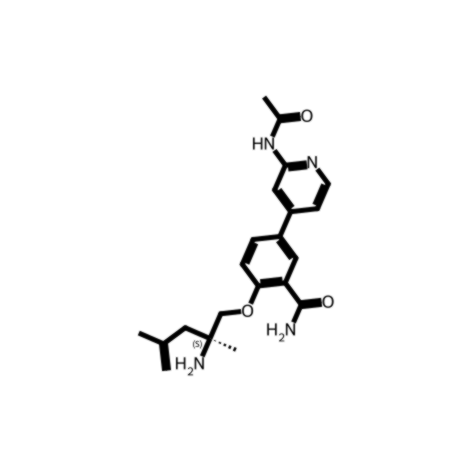 C=C(C)C[C@](C)(N)COc1ccc(-c2ccnc(NC(C)=O)c2)cc1C(N)=O